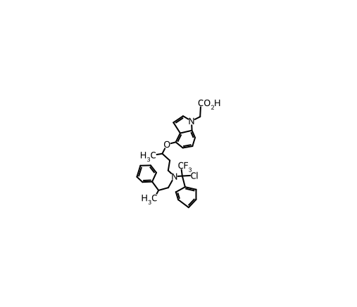 CC(CCN(CC(C)c1ccccc1)C(Cl)(c1ccccc1)C(F)(F)F)Oc1cccc2c1ccn2CC(=O)O